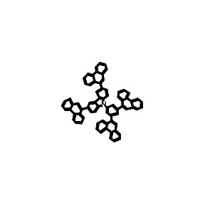 c1ccc2c(c1)cc(-c1cc(-c3cc4ccccc4c4ccccc34)cc(-n3c4ccc(-c5cc6ccccc6c6ccccc56)cc4c4cc(-c5cc6ccccc6c6ccccc56)ccc43)c1)c1ccccc12